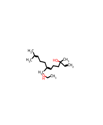 C=CC(C)(O)CCC=C(C)CCC=C(C)C.CCO